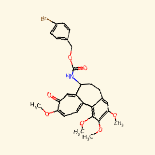 COc1cc2c(c(OC)c1OC)-c1ccc(OC)c(=O)cc1C(NC(=O)OCc1ccc(Br)cc1)CC2